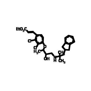 CCOC(=O)/C=C/c1ccc(OC(C)C(O)CNC(C)(C)CC2Cc3ccccc3C2)c(Cl)c1Cl